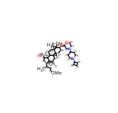 COCC[C@@H](C)[C@H]1C[C@H](O)[C@@]2(C)C3CC[C@H]4C(C)(C)[C@@H](O[C@H]5CN(C6CCN(C7CCC7)CC6)CCO5)CC[C@@]45C[C@@]35CC[C@]12C